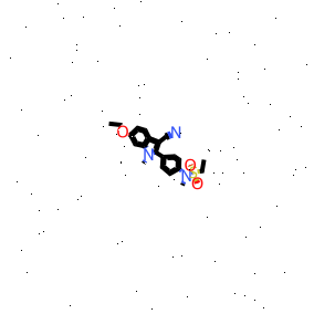 CCOc1ccc2c(C#N)c(-c3ccc(N(C)S(=O)(=O)CC)cc3)n(C)c2c1